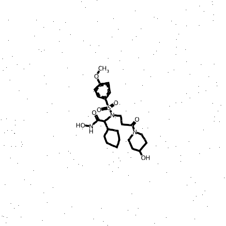 COc1ccc(S(=O)(=O)N(CCC(=O)N2CCC(O)CC2)C(C(=O)NO)C2CCCCC2)cc1